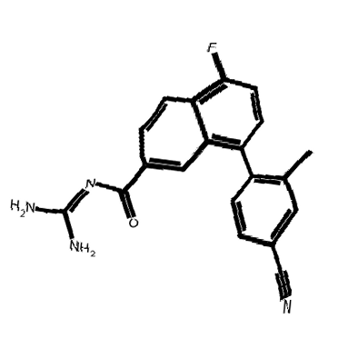 Cc1cc(C#N)ccc1-c1ccc(F)c2ccc(C(=O)N=C(N)N)cc12